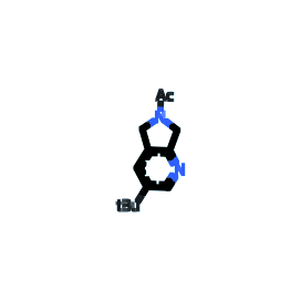 CC(=O)N1Cc2cc(C(C)(C)C)cnc2C1